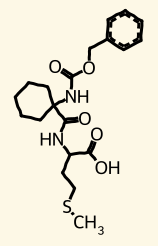 CSCCC(NC(=O)C1(NC(=O)OCc2ccccc2)CCCCC1)C(=O)O